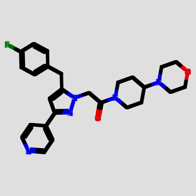 O=C(Cn1nc(-c2ccncc2)cc1Cc1ccc(F)cc1)N1CCC(N2CCOCC2)CC1